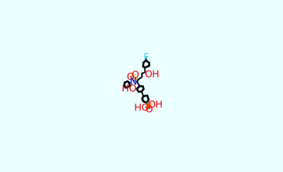 O=P(O)(O)c1ccc(-c2ccc(C3C(CCC(O)c4ccc(F)cc4)S(=O)(=O)N3c3ccccc3)c(O)c2)cc1